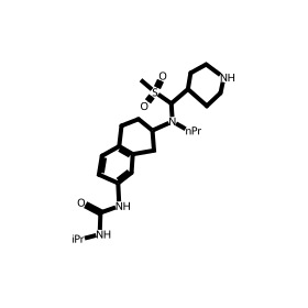 CCCN(C1CCc2ccc(NC(=O)NC(C)C)cc2C1)C(C1CCNCC1)S(C)(=O)=O